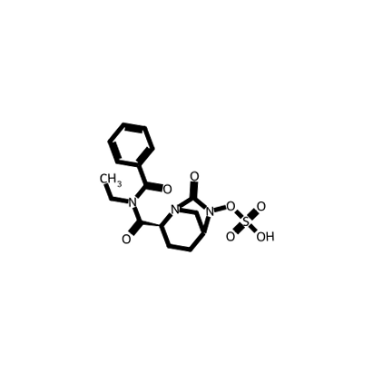 CCN(C(=O)c1ccccc1)C(=O)[C@@H]1CCC2CN1C(=O)N2OS(=O)(=O)O